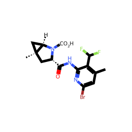 Cc1cc(Br)nc(NC(=O)[C@@H]2C[C@@]3(C)C[C@H]3N2C(=O)O)c1C(F)F